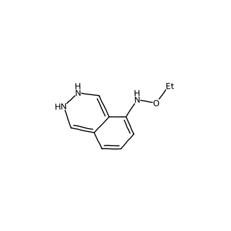 CCONc1cccc2c1=CNNC=2